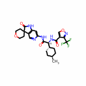 C[C@H]1CC[C@H]([C@H](NC(=O)c2conc2C(F)(F)F)C(=O)Nc2cc3c(cn2)C2(CCOCC2)C(=O)N3)CC1